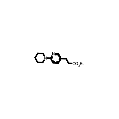 CCOC(=O)CCc1ccc(N2CCCCC2)nc1